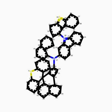 c1ccc2c(c1)Sc1ccccc1C21c2cc(N(c3ccc4c5ccccc5n(-c5cccc6sc7ccccc7c56)c4c3)c3cccc4ccccc34)ccc2-c2cccc3cccc1c23